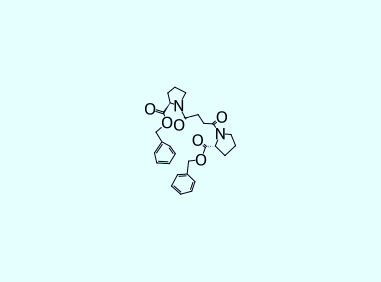 O=C(OCc1ccccc1)[C@H]1CCCN1C(=O)CCC(=O)N1CCC[C@@H]1C(=O)OCc1ccccc1